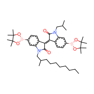 CCCCCCCCC(C)CN1C(=O)/C(=C2/C(=O)N(CC(C)C)c3cc(B4OC(C)(C)C(C)(C)O4)ccc32)c2ccc(B3OC(C)(C)C(C)(C)O3)cc21